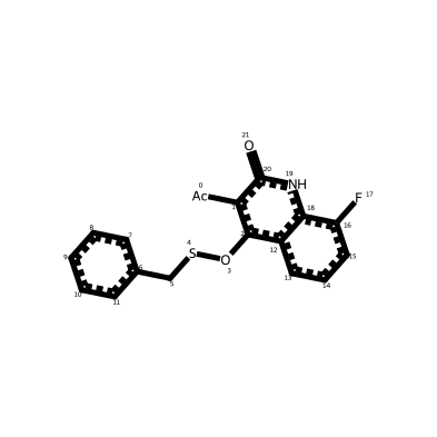 CC(=O)c1c(OSCc2ccccc2)c2cccc(F)c2[nH]c1=O